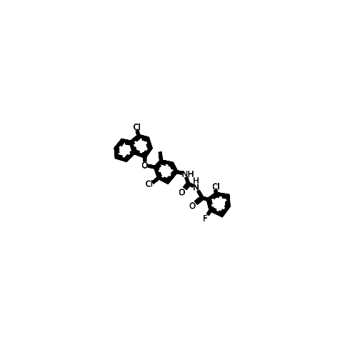 Cc1cc(NC(=O)NC(=O)c2c(F)cccc2Cl)cc(Cl)c1Oc1ccc(Cl)c2ccccc12